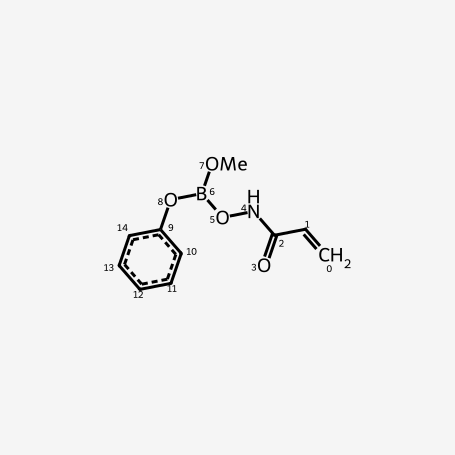 C=CC(=O)NOB(OC)Oc1ccccc1